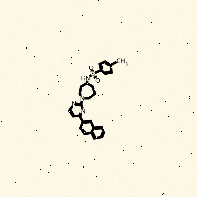 Cc1ccc(S(=O)(=O)NC2CCCN(c3nccc(-c4ccc5ccccc5c4)n3)CC2)cc1